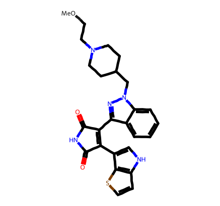 COCCN1CCC(Cn2nc(C3=C(c4c[nH]c5ccsc45)C(=O)NC3=O)c3ccccc32)CC1